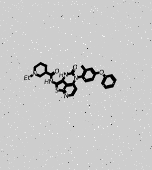 CCN1CCCC(C(=O)Nc2sc3nccc4c3c2NC(=O)N4c2ccc(Oc3ccccc3)cc2C)C1